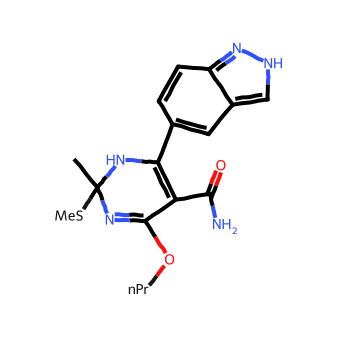 CCCOC1=NC(C)(SC)NC(c2ccc3n[nH]cc3c2)=C1C(N)=O